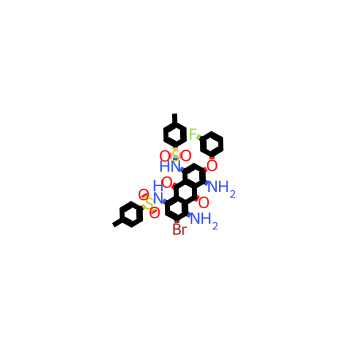 Cc1ccc(S(=O)(=O)Nc2cc(Br)c(N)c3c2C(=O)c2c(NS(=O)(=O)c4ccc(C)cc4)cc(Oc4cccc(F)c4)c(N)c2C3=O)cc1